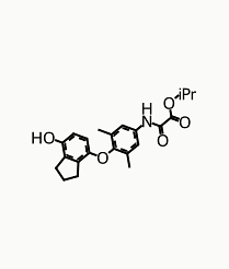 Cc1cc(NC(=O)C(=O)OC(C)C)cc(C)c1Oc1ccc(O)c2c1CCC2